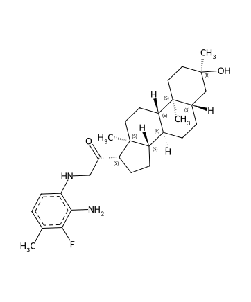 Cc1ccc(NCC(=O)[C@H]2CC[C@H]3[C@@H]4CC[C@H]5C[C@](C)(O)CC[C@]5(C)[C@H]4CC[C@]23C)c(N)c1F